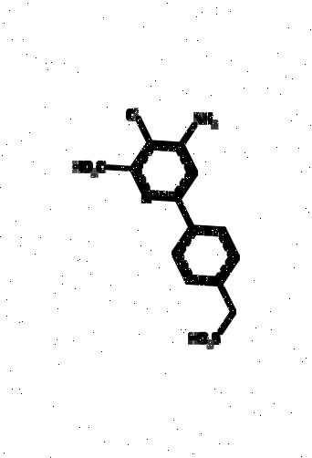 Nc1cc(-c2ccc(CS(=O)(=O)O)cc2)nc(C(=O)O)c1Cl